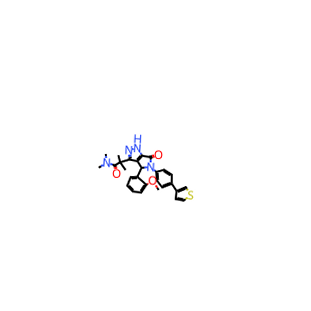 COc1ccccc1C1c2c(C(C)(C)C(=O)N(C)C)n[nH]c2C(=O)N1c1ccc(-c2ccsc2)cc1